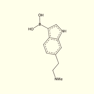 CNCCc1ccc2c(B(O)O)c[nH]c2c1